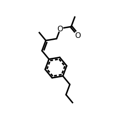 CCCc1ccc(C=C(C)COC(C)=O)cc1